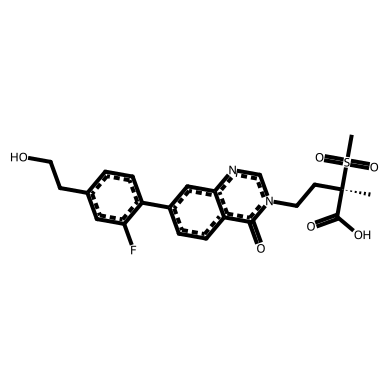 C[C@@](CCn1cnc2cc(-c3ccc(CCO)cc3F)ccc2c1=O)(C(=O)O)S(C)(=O)=O